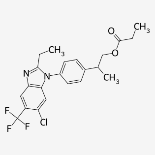 CCC(=O)OCC(C)c1ccc(-n2c(CC)nc3cc(C(F)(F)F)c(Cl)cc32)cc1